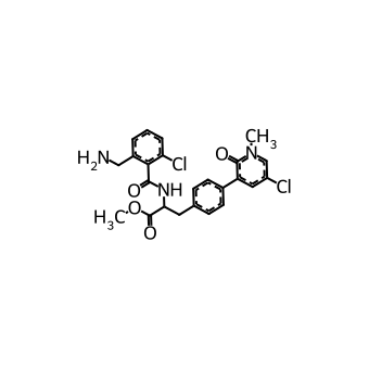 COC(=O)C(Cc1ccc(-c2cc(Cl)cn(C)c2=O)cc1)NC(=O)c1c(Cl)cccc1CN